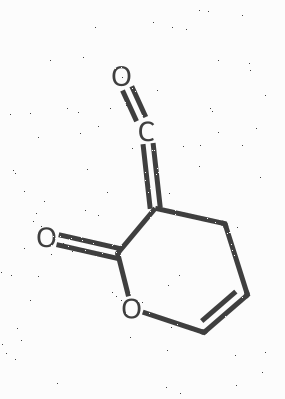 O=C=C1CC=COC1=O